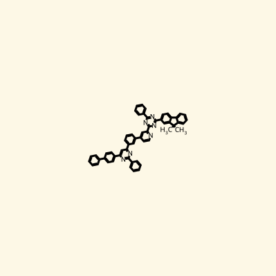 CC1(C)c2ccccc2-c2ccc(-c3nc(-c4ccccc4)nc(-c4cc(-c5cccc(-c6cc(-c7ccc(-c8ccccc8)cc7)nc(-c7ccccc7)n6)c5)ccn4)n3)cc21